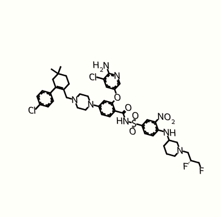 CC1(C)CCC(CN2CCN(c3ccc(C(=O)NS(=O)(=O)c4ccc(NC5CCCN(C[C@@H](F)CF)C5)c([N+](=O)[O-])c4)c(Oc4cnc(N)c(Cl)c4)c3)CC2)=C(c2ccc(Cl)cc2)C1